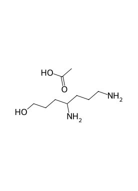 CC(=O)O.NCCCC(N)CCCO